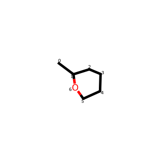 C[C]1CCCCO1